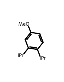 [CH2]C(C)c1cc(OC)ccc1C(C)C